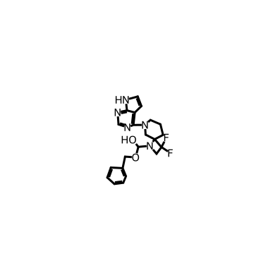 OC(OCc1ccccc1)N1CC(F)(F)C12CCCN(c1ncnc3[nH]ccc13)C2